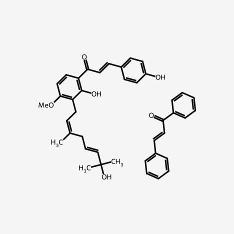 COc1ccc(C(=O)C=Cc2ccc(O)cc2)c(O)c1CC=C(C)CC=CC(C)(C)O.O=C(C=Cc1ccccc1)c1ccccc1